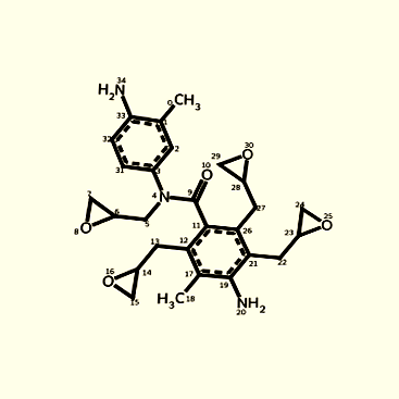 Cc1cc(N(CC2CO2)C(=O)c2c(CC3CO3)c(C)c(N)c(CC3CO3)c2CC2CO2)ccc1N